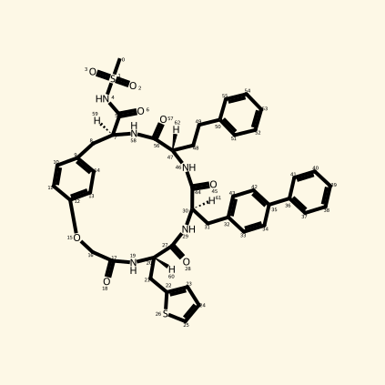 CS(=O)(=O)NC(=O)[C@@H]1Cc2ccc(cc2)OCC(=O)N[C@@H](Cc2cccs2)C(=O)N[C@H](Cc2ccc(-c3ccccc3)cc2)C(=O)N[C@@H](CCc2ccccc2)C(=O)N1